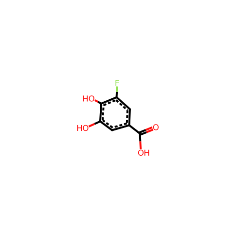 O=C(O)c1cc(O)c(O)c(F)c1